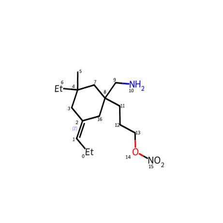 CC/C=C1/CC(C)(CC)CC(CN)(CCCO[N+](=O)[O-])C1